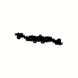 C=CC(=O)OCCCCOc1ccc(OC(=O)c2ccc(OC(=O)c3ccc(OCCCCOC(=O)C=C)cc3)c(C)c2)cc1